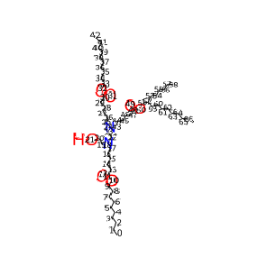 CCCCCCCCCCOC(=O)CCCCCN(CCO)CCN(CCCCCC(=O)OCCCCCCCCCC)CCCCCC(=O)OCC(CCCCCC)CCCCCCCC